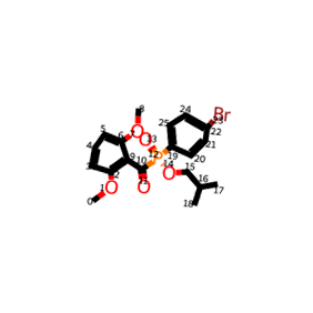 COc1cccc(OC)c1C(=O)P(=O)(OCC(C)C)c1ccc(Br)cc1